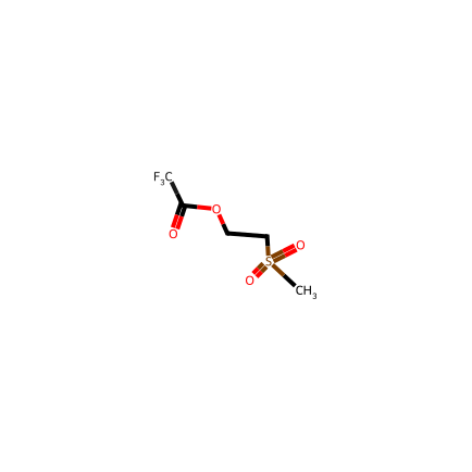 CS(=O)(=O)CCOC(=O)C(F)(F)F